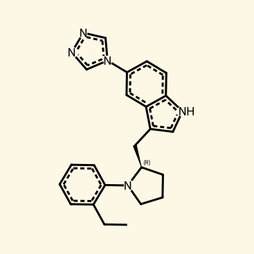 CCc1ccccc1N1CCC[C@@H]1Cc1c[nH]c2ccc(-n3cnnc3)cc12